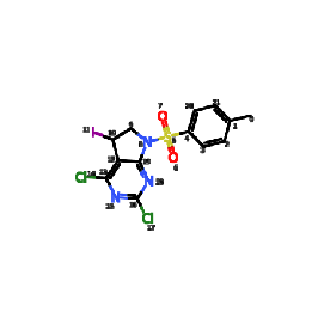 Cc1ccc(S(=O)(=O)N2CC(I)c3c(Cl)nc(Cl)nc32)cc1